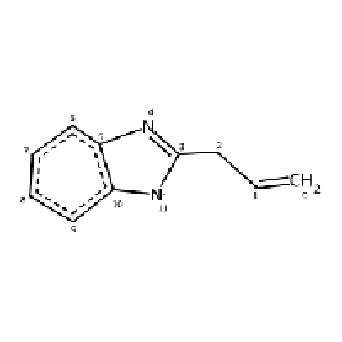 C=CCC1=Nc2ccccc2[N]1